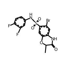 CC1Oc2cc(S(=O)(=O)Nc3ccc(F)c(F)c3)c(Br)cc2NC1=O